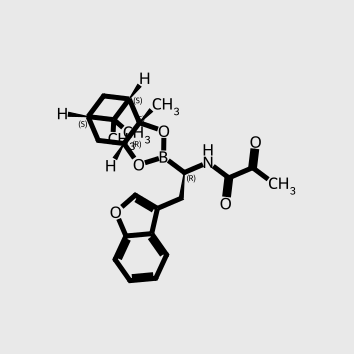 CC(=O)C(=O)N[C@@H](Cc1coc2ccccc12)B1O[C@@H]2C[C@@H]3C[C@@H](C3(C)C)[C@]2(C)O1